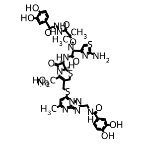 Cc1cc(SCC2=C(C(=O)O)N3C(=O)[C@@H](NC(=O)C(=NOC(C)(C)C(=O)NNC(=O)c4ccc(O)c(O)c4)c4csc(N)n4)[C@H]3SC2)n2nc(CNC(=O)c3ccc(O)c(O)c3)nc2n1.[Na]